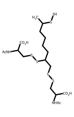 CC(=O)NC(CSSCC(CCCCC(C)SS)SSCC(NC(C)=O)C(=O)O)C(=O)O